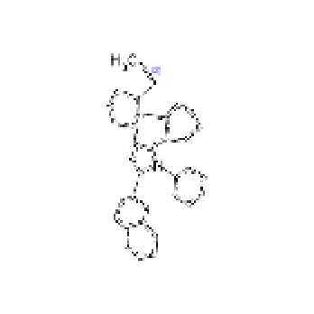 C/C=C\c1cccc2c3cc(-c4ccc5ccccc5c4)n(-c4ccccc4)c3c3ccccc3c12